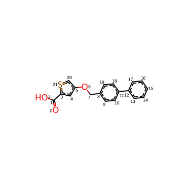 O=C(O)c1cc(OCc2ccc(-c3ccccc3)cc2)cs1